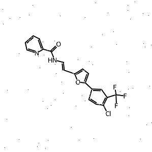 O=C(NC=Cc1ccc(-c2ccc(Cl)c(C(F)(F)F)c2)o1)c1ccccn1